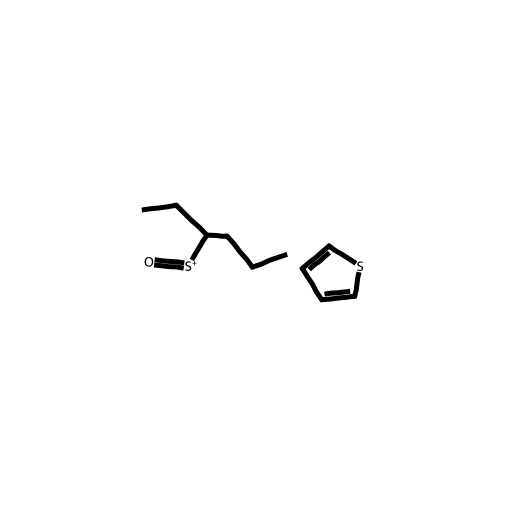 CCCC(CC)[S+]=O.c1ccsc1